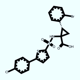 O=C(O)C1(NS(=O)(=O)c2ccc(-c3ccc(Cl)cc3)s2)C[C@H]1c1ccccc1Br